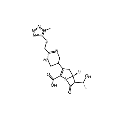 C[C@@H](O)[C@H]1C(=O)N2C(C(=O)O)=C(C3CN=C(CSc4nnnn4C)NC3)C[C@H]12